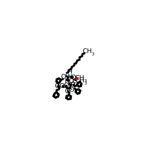 CCCCCCCCCCCCCCC[C@@H](OCc1ccccc1)[C@H](/C=C/[C@H]1O[C@H](COC(=O)CCc2ccccc2)[C@H](OCc2ccccc2)[C@H](OCc2ccccc2)[C@H]1OCc1ccccc1)NC(=O)OC(C)(C)C